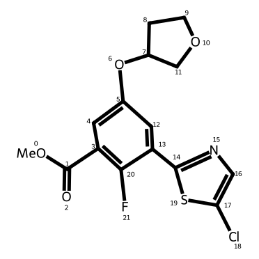 COC(=O)c1cc(OC2CCOC2)cc(-c2ncc(Cl)s2)c1F